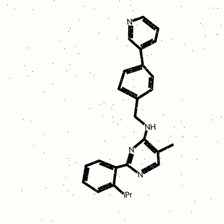 Cc1cnc(-c2ccccc2C(C)C)nc1NCc1ccc(-c2cccnc2)cc1